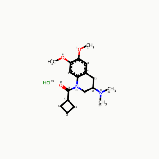 COc1cc2c(cc1OC)N(C(=O)C1CCC1)CC(N(C)C)C2.Cl